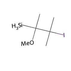 COC(C)([SiH3])C(C)(C)I